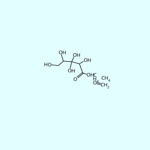 C.C.C=O.O=C(O)C(O)C(O)(O)C(O)CO